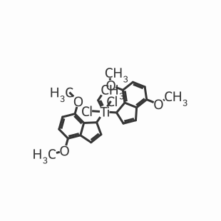 C[CH]=[Ti]([Cl])([Cl])([CH]1C=Cc2c(OC)ccc(OC)c21)[CH]1C=Cc2c(OC)ccc(OC)c21